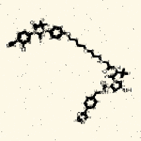 CC(C)(C)C(NC(=O)COCCCOCCCCOc1ccc(N2C(=S)N(c3ccc(C#N)c(Cl)c3)C(=O)C2(C)C)cc1)C(=O)N1C[C@H](O)C[C@H]1C(=O)NCc1ccc(-c2cnco2)cc1